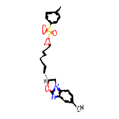 Cc1ccc(S(=O)(=O)OCCCCCC[C@@H]2Cn3c(nc4cc(C#N)ccc43)O2)cc1